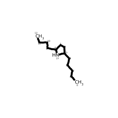 CCCCCC1CCC(CCCC)N1